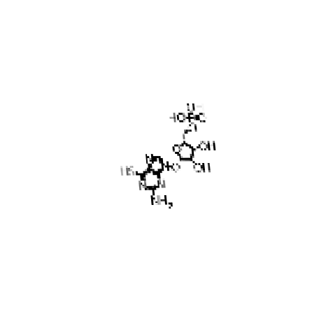 Nc1nc(S)c2ncn(O[C@@H]3O[C@H](COP(=O)(O)O)[C@@H](O)[C@H]3O)c2n1